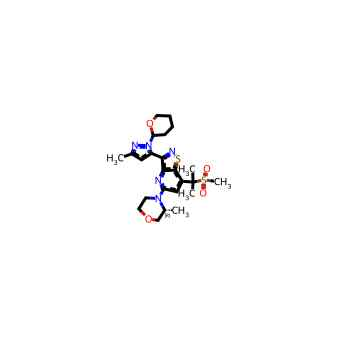 Cc1cc(-c2nsc3c(C(C)(C)S(C)(=O)=O)cc(N4CCOC[C@H]4C)nc23)n(C2CCCCO2)n1